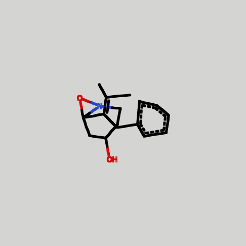 CC(C)=C(Cc1ccccc1)C12CC(O)CCN1O2